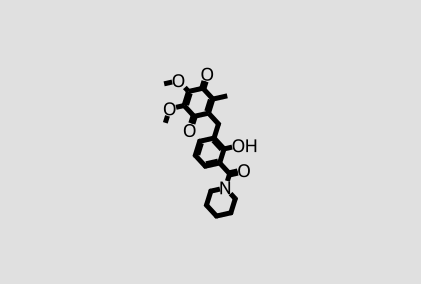 COC1=C(OC)C(=O)C(Cc2cccc(C(=O)N3CCCCC3)c2O)=C(C)C1=O